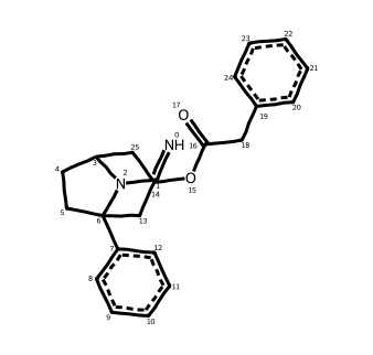 N=CN1C2CCC1(c1ccccc1)CC(OC(=O)Cc1ccccc1)C2